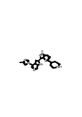 Cc1cn(-c2cncc3[nH]c(-c4n[nH]c5ccc(C6CCNCC6)nc45)cc23)cn1